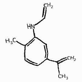 C=CNc1cc(C(=C)C)ccc1C